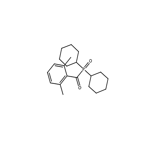 Cc1cccc(C)c1C(=O)P(=O)(C1CCCCC1)C1CCCCC1